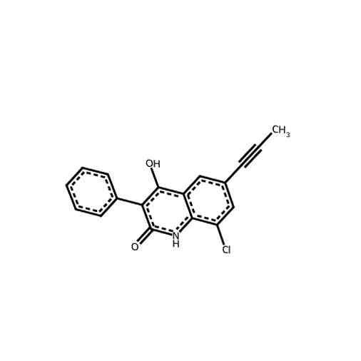 CC#Cc1cc(Cl)c2[nH]c(=O)c(-c3ccccc3)c(O)c2c1